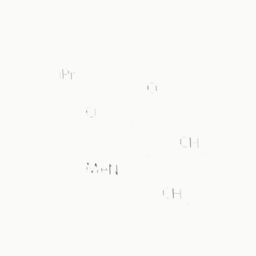 CNC(C)(C)C(=O)OC(C)C